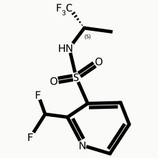 C[C@H](NS(=O)(=O)c1cccnc1C(F)F)C(F)(F)F